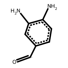 Nc1ccc([C]=O)cc1N